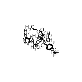 CCCOC(=O)C(C)(C)NP(=O)(COC(C)Cn1cnc2c(N)ncnc21)N(C)C(C)c1ccc(OC(F)(F)F)cc1